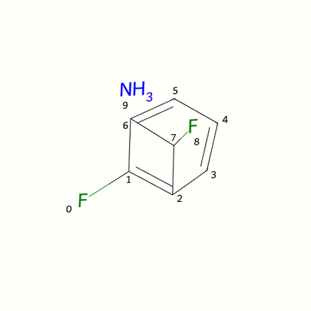 Fc1c2cccc1C2F.N